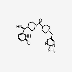 N=C(c1cccc(=O)[nH]1)C1CCN(C(=O)C2CCN(Cc3cnc(N)nc3)CC2)CC1